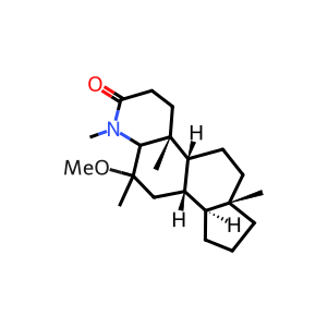 COC1(C)C[C@@H]2[C@@H](CC[C@]3(C)CCC[C@@H]23)[C@@]2(C)CCC(=O)N(C)C12